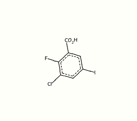 O=C(O)c1cc(I)cc(Cl)c1F